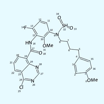 COc1ccc(CCCCN(c2ccc(F)c(NC(=O)c3cccc4c(Cl)ncnc34)c2OC)[SH](=O)=O)cc1